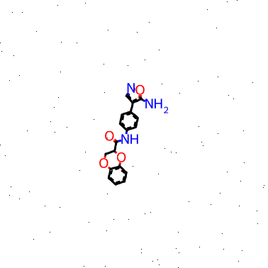 Nc1oncc1-c1ccc(NC(=O)C2COc3ccccc3O2)cc1